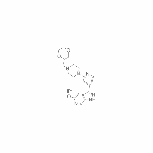 CC(C)Oc1cc2c(-c3ccnc(N4CCN(CC5COCCO5)CC4)c3)n[nH]c2cn1